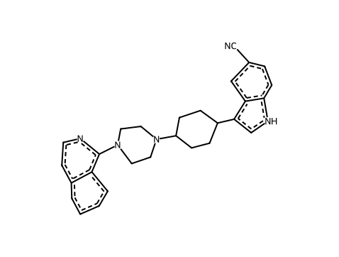 N#Cc1ccc2[nH]cc(C3CCC(N4CCN(c5nccc6ccccc56)CC4)CC3)c2c1